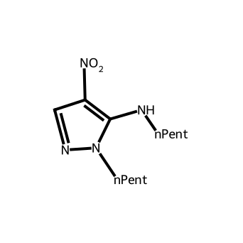 CCCCCNc1c([N+](=O)[O-])cnn1CCCCC